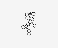 c1ccc(N(c2ccc3c(c2)C2(c4ccccc4Oc4ccccc42)c2cccc4cccc-3c24)c2ccc3c4ccccc4n(-c4ccc5ccccc5c4)c3c2)cc1